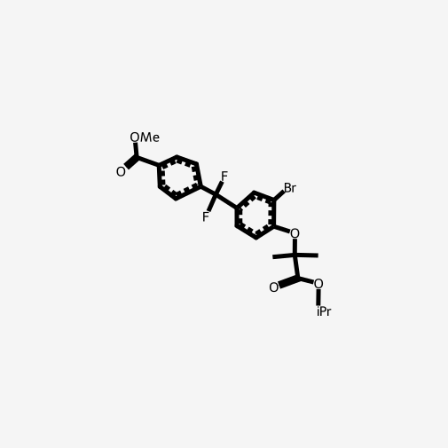 COC(=O)c1ccc(C(F)(F)c2ccc(OC(C)(C)C(=O)OC(C)C)c(Br)c2)cc1